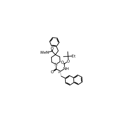 CCC(C)(C)OC(=O)N[C@H](Cc1ccc2ccccc2c1)C(=O)N1CCC(Cc2ccccc2)(C(=O)NC)CC1